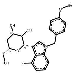 CC(C)Oc1ccc(Cn2cc([C@@H]3O[C@H](CO)C[C@H](O)C3O)c3c(F)cccc32)cc1